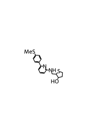 CSc1ccc(-c2cccc(NCC3SCCC3O)n2)cc1